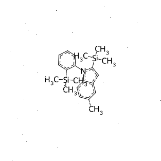 Cc1ccc2c(c1)cc([Si](C)(C)C)n2-c1ccccc1[Si](C)(C)C